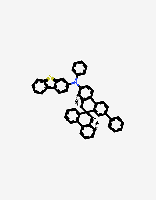 c1ccc(-c2ccc3c(c2)C2(c4ccccc4-c4cccc5cccc2c45)c2cccc4c(N(c5ccccc5)c5ccc6c(c5)sc5ccccc56)ccc-3c24)cc1